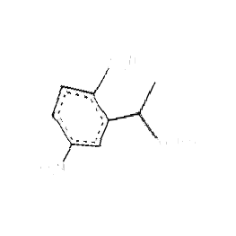 CCCCCCCC(C)c1cc([N+](=O)[O-])ccc1C(=O)O